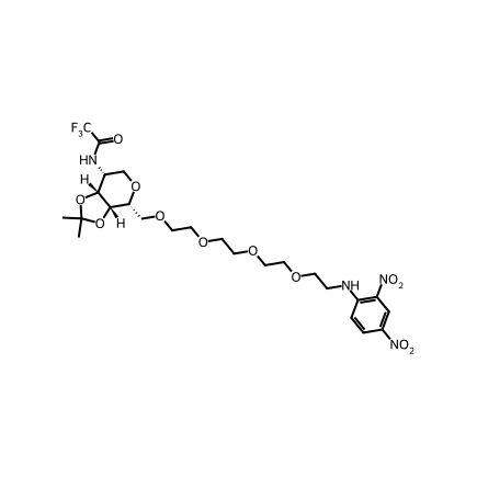 CC1(C)O[C@@H]2[C@H](O1)[C@H](NC(=O)C(F)(F)F)CO[C@@H]2COCCOCCOCCOCCNc1ccc([N+](=O)[O-])cc1[N+](=O)[O-]